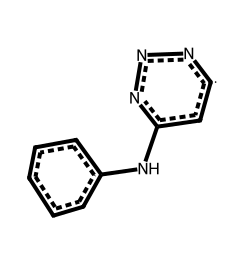 [c]1cc(Nc2ccccc2)nnn1